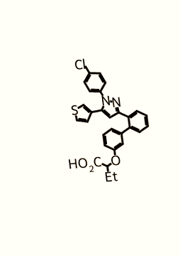 CCC(Oc1cccc(-c2ccccc2-c2cc(-c3ccsc3)n(-c3ccc(Cl)cc3)n2)c1)C(=O)O